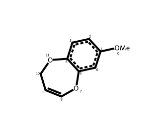 COc1ccc2c(c1)OC=CCO2